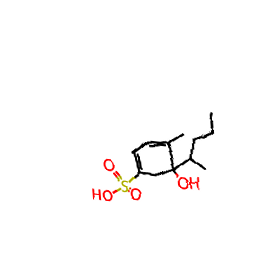 CCCC(C)C1(O)CC(S(=O)(=O)O)=CC=C1C